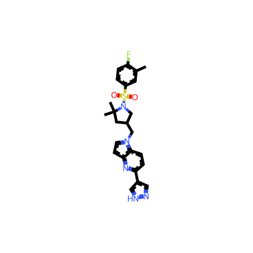 Cc1cc(S(=O)(=O)N2CC(Cn3ccc4nc(-c5cn[nH]c5)ccc43)CC2(C)C)ccc1F